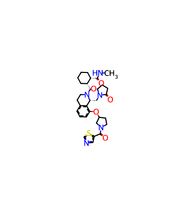 CNC(=O)[C@H]1CCCC[C@H]1C(=O)N1CCc2cccc(OC3CCN(C(=O)c4cncs4)C3)c2[C@H]1CN1CCCC1=O